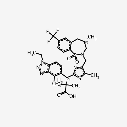 CCn1nnc2c(C)c([C@H](c3nc(CN4C[C@@H](C)Cc5cc(C(F)(F)F)ccc5S4(=O)=O)c(C)s3)C(C)(C)C(=O)O)ccc21